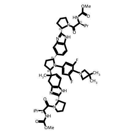 COC(=O)N[C@H](C(=O)N1CCC[C@H]1c1nc2c([nH]1)C=CC(C)([C@H]1CC[C@H](c3ccc4[nH]c([C@@H]5CCCN5C(=O)[C@@H](NC(=O)OC)C(C)C)nc4c3)N1c1cc(F)c(N3CC(C)(C)C3)c(F)c1)C2)C(C)C